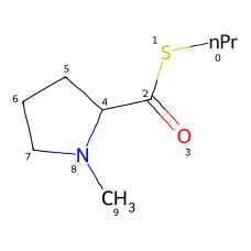 CCCSC(=O)C1CCCN1C